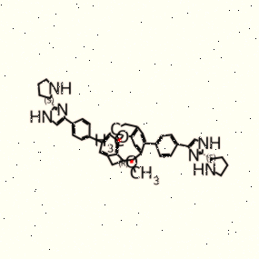 COc1cc2c(-c3ccc(-c4c[nH]c([C@@H]5CCCN5)n4)cc3)cc1CCc1cc3c(cc1-c1ccc(-c4c[nH]c([C@@H]5CCCN5)n4)cc1)C[C@]3(OC)C2